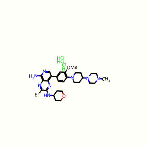 CCc1nc2c(N)ncc(-c3ccc(N4CCC(N5CCN(C)CC5)CC4)c(OC)c3)c2nc1NC1CCOCC1.Cl.Cl.Cl